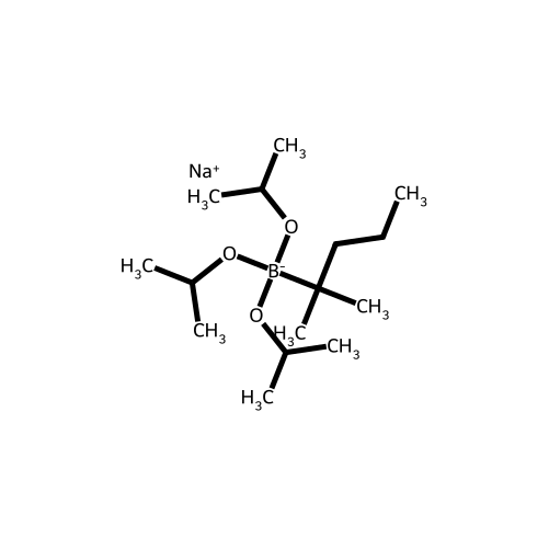 CCCC(C)(C)[B-](OC(C)C)(OC(C)C)OC(C)C.[Na+]